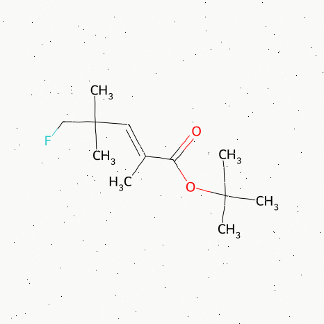 C/C(=C\C(C)(C)CF)C(=O)OC(C)(C)C